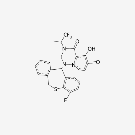 CC(N1CN([C@H]2c3ccccc3CSc3c(F)cccc32)n2ccc(=O)c(O)c2C1=O)C(F)(F)F